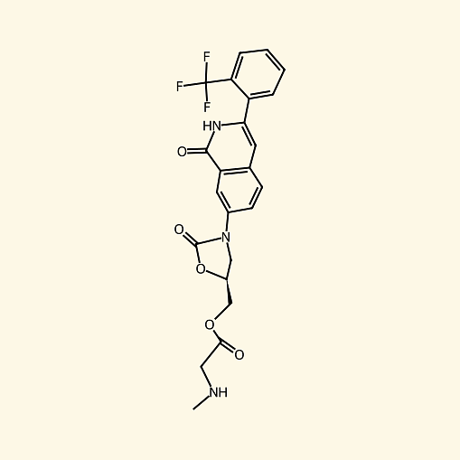 CNCC(=O)OC[C@@H]1CN(c2ccc3cc(-c4ccccc4C(F)(F)F)[nH]c(=O)c3c2)C(=O)O1